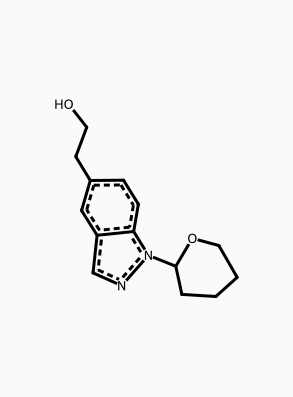 OCCc1ccc2c(cnn2C2CCCCO2)c1